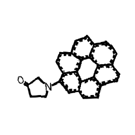 O=C1CCN(c2cc3ccc4ccc5ccc6ccc7ccc2c2c7c6c5c4c32)C1